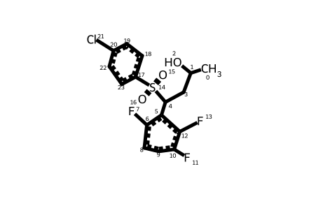 CC(O)CC(c1c(F)ccc(F)c1F)S(=O)(=O)c1ccc(Cl)cc1